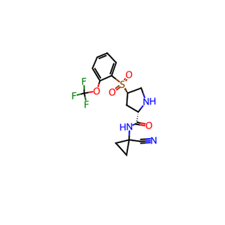 N#CC1(NC(=O)[C@@H]2C[C@@H](S(=O)(=O)c3ccccc3OC(F)(F)F)CN2)CC1